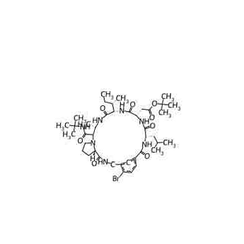 CC[C@H](C)[C@@H]1NC(=O)[C@H](CC(=O)OC(C)(C)C)NC(=O)[C@H](CC(C)C)NC(=O)c2ccc(Br)c(c2)CNC(=O)[C@@H]2CCCN2C(C(=O)NC(C)(C)C)[C@H](C)NC1=O